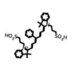 CC1(C)C(=CC=CC(=CC=CC2=[N+](CCCS(=O)(=O)O)c3ccccc3C2(C)C)c2ccccc2)N(CCCS(=O)(=O)O)c2ccccc21